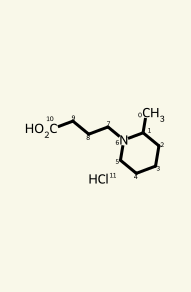 CC1CCCCN1CCCC(=O)O.Cl